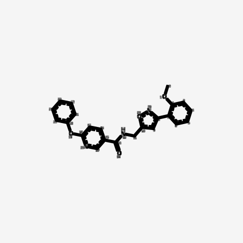 COc1ccccc1-c1cc(CNC(=O)c2ccc(Oc3ccccc3)nc2)on1